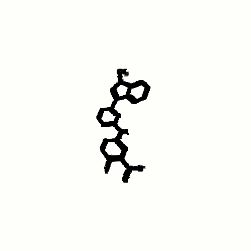 Cn1cc(-c2ccnc(Nc3ccc(F)c([N+](=O)[O-])c3)n2)c2ccccc21